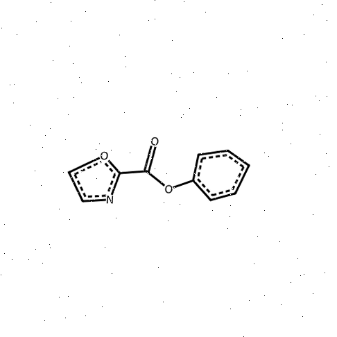 O=C(Oc1ccccc1)c1ncco1